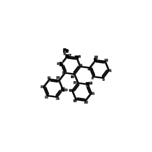 [Fe].c1ccc(-c2nnnc(-c3ccccn3)c2-c2ccccn2)nc1